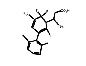 Cc1cccc(C)c1C1=C(F)C(C(N)CC(=O)O)C(F)(F)C(C(F)(F)F)=C1